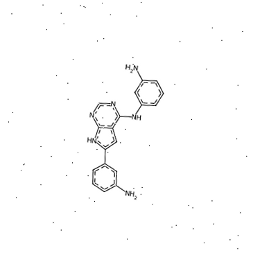 Nc1cccc(Nc2ncnc3[nH]c(-c4cccc(N)c4)cc23)c1